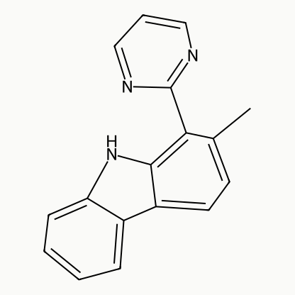 Cc1ccc2c([nH]c3ccccc32)c1-c1ncccn1